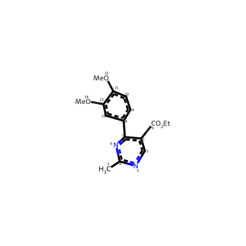 CCOC(=O)c1cnc(C)nc1-c1ccc(OC)c(OC)c1